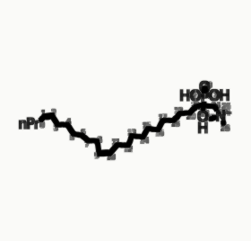 CCC/C=C\CCCCCC/C=C\CCCCCCCCCCCC(O)(C[N+](C)(C)C)P(=O)(O)O